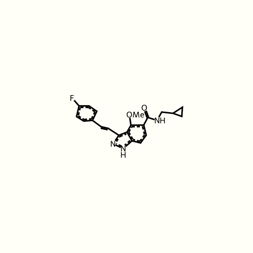 COc1c(C(=O)NCC2CC2)ccc2[nH]nc(/C=C/c3ccc(F)cc3)c12